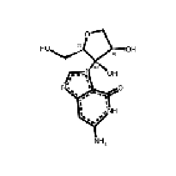 Nc1cc2ncn([C@@]3(O)[C@H](O)CO[C@@H]3CO)c2c(=O)[nH]1